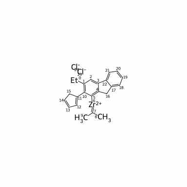 CCc1cc2c([c]([Zr+2]=[C](C)C)c1C1=CC=CC1)Cc1ccccc1-2.[Cl-].[Cl-]